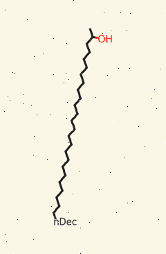 CCCCCCCCCCCCCCCCCCCCCCCCCCCCCCCCCC(C)O